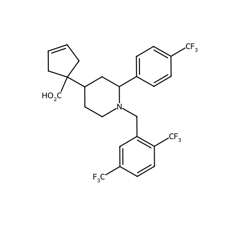 O=C(O)C1(C2CCN(Cc3cc(C(F)(F)F)ccc3C(F)(F)F)C(c3ccc(C(F)(F)F)cc3)C2)CC=CC1